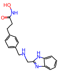 O=C(CCc1ccc(CNCc2nc3ccccc3[nH]2)cc1)NO